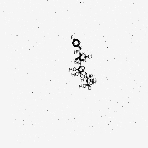 O=P(O)(O)CP(=O)(O)OC[C@H]1O[C@@H](n2ncc3c(NCc4ccc(F)cc4)nc(Cl)nc32)[C@H](O)C1(O)O